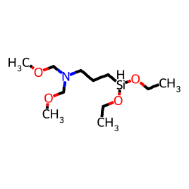 CCO[SiH](CCCN(COC)COC)OCC